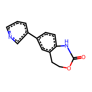 O=C1Nc2ccc(-c3cccnc3)cc2CCO1